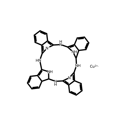 C1=CC2=C3Nc4[n-]c(c5ccccc45)NC4=C5C=CC=CC5C(N4)Nc4[n-]c(c5ccccc45)NC(N3)C2C=C1.[Cu+2]